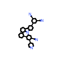 N#Cc1cc(C#N)cc(-c2ccc3c(c2)c2ccccc2n3-c2cc(C#N)c(-c3ccncc3)cc2-c2ccccc2)c1